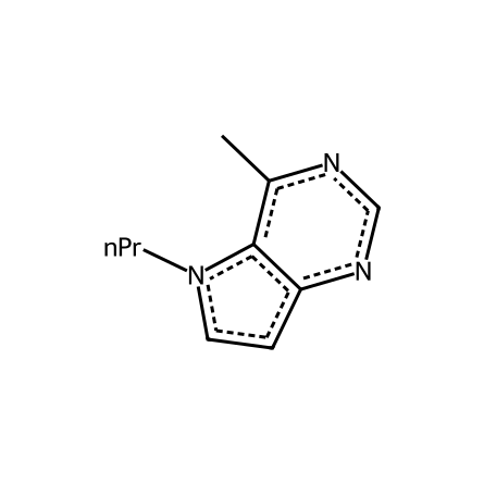 CCCn1ccc2ncnc(C)c21